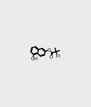 CCC(C)(C)C(=O)Oc1ccc2c(O)cccc2c1